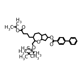 CC(C)OC(=O)CCCC1CCC2CC(OC(=O)c3ccc(-c4ccccc4)cc3)CC2OC1CO[Si](C)(C)C(C)(C)C